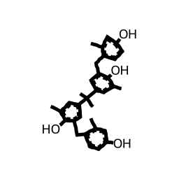 Cc1cc(O)ccc1Cc1cc(C(C)(C)c2cc(C)c(O)c(Cc3ccc(O)cc3C)c2)cc(C)c1O